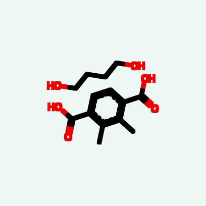 Cc1c(C(=O)O)ccc(C(=O)O)c1C.OCCCCO